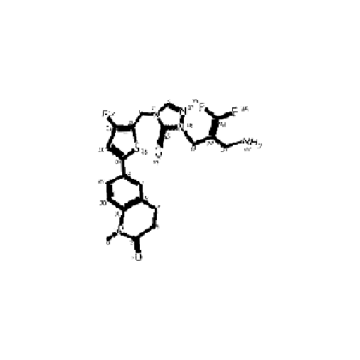 CN1C(=O)CCc2cc(-c3cc(F)c(Cn4cnn(CC(CN)=C(F)F)c4=O)s3)ccc21